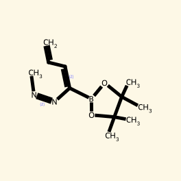 C=C/C=C(\N=N/C)B1OC(C)(C)C(C)(C)O1